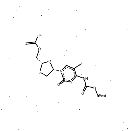 CCCCCOC(=O)Nc1nc(=O)n([C@@H]2CS[C@H](COC(=O)CCC)O2)cc1F